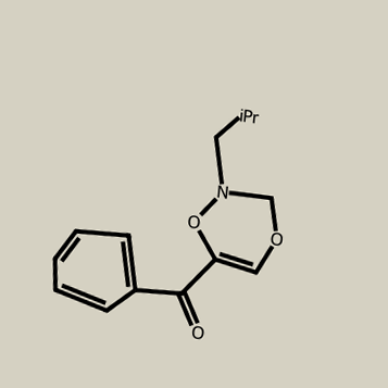 CC(C)CN1COC=C(C(=O)c2ccccc2)O1